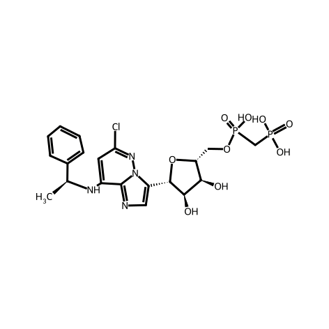 C[C@H](Nc1cc(Cl)nn2c([C@@H]3O[C@H](COP(=O)(O)CP(=O)(O)O)[C@@H](O)[C@H]3O)cnc12)c1ccccc1